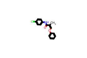 CC(=COc1ccccc1)C(=O)Nc1ccc(Cl)cc1